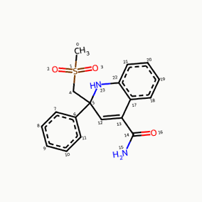 CS(=O)(=O)CC1(c2ccccc2)C=C(C(N)=O)c2ccccc2N1